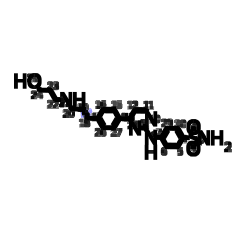 NS(=O)(=O)c1ccc(Nc2nccc(-c3ccc(/C=C/CNCCCO)cc3)n2)cc1